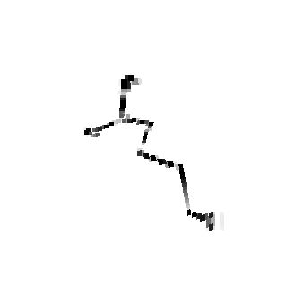 CCCN(CCCCO)C(C)=O